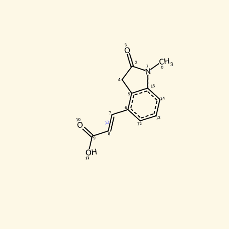 CN1C(=O)Cc2c(/C=C/C(=O)O)cccc21